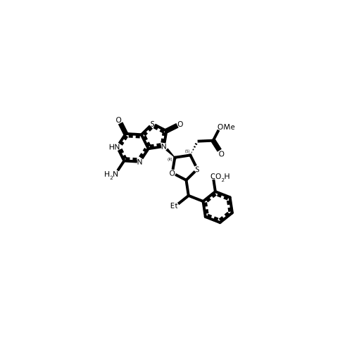 CCC(c1ccccc1C(=O)O)C1O[C@@H](n2c(=O)sc3c(=O)[nH]c(N)nc32)[C@H](CC(=O)OC)S1